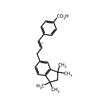 CC1(C)CC(C)(C)c2cc(C/C=C/c3ccc(C(=O)O)cc3)ccc21